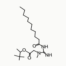 CCCCCCCCCCC(=O)NC(=N)N(C)CC(=O)OC(C)C(C)(C)C